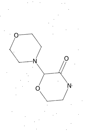 O=C1[N]CCOC1N1CCOCC1